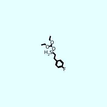 CCOC(OCC)O[SiH2]CCc1ccc(F)cc1